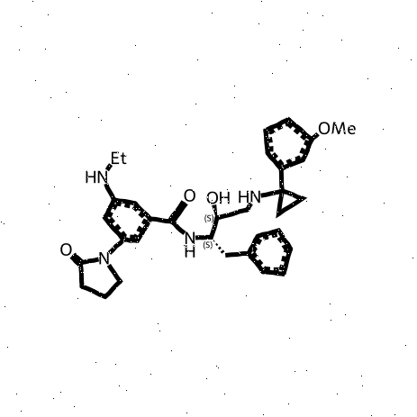 CCNc1cc(C(=O)N[C@@H](Cc2ccccc2)[C@@H](O)CNC2(c3cccc(OC)c3)CC2)cc(N2CCCC2=O)c1